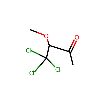 COC(C(C)=O)C(Cl)(Cl)Cl